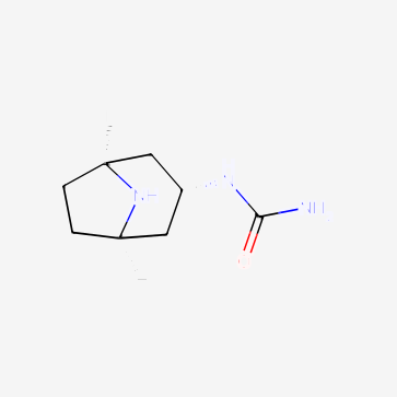 NC(=O)N[C@@H]1C[C@H]2CC[C@@H](C1)N2